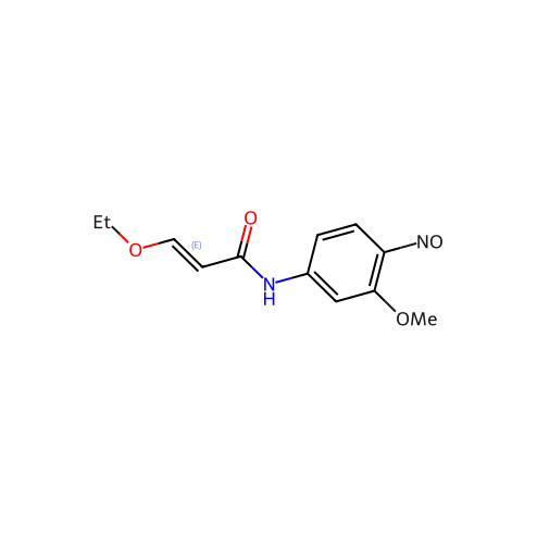 CCO/C=C/C(=O)Nc1ccc(N=O)c(OC)c1